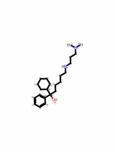 CCN(CC)CCCNCCCCCC(O)(c1ccccc1)C1CCCCC1